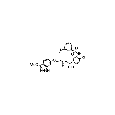 COc1n[nH]c2cc(OCCNC[C@H](O)c3ccc(Cl)c(NS(=O)(=O)c4cccc(N)c4)c3)ccc12